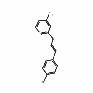 FC(F)(F)c1[c]c(CC=Cc2ccc(Br)cc2)ncc1